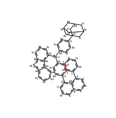 c1ccc(-c2cccc3cccc(-c4ccc(N(c5ccc(C67CC8CC(CC(C8)C6)C7)cc5)c5cccc6sc7ccccc7c56)cc4)c23)cc1